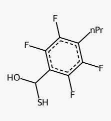 CCCc1c(F)c(F)c(C(O)S)c(F)c1F